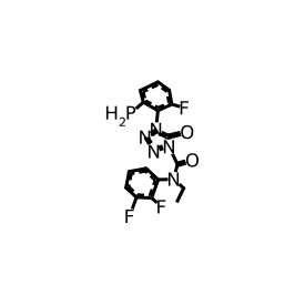 CCN(C(=O)n1nnn(-c2c(F)cccc2P)c1=O)c1cccc(F)c1F